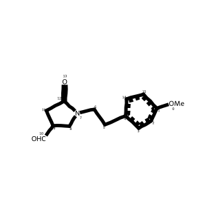 COc1ccc(CCN2CC(C=O)CC2=O)cc1